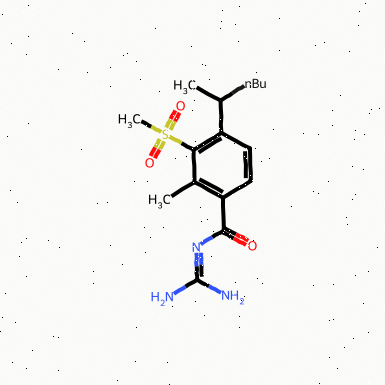 CCCCC(C)c1ccc(C(=O)N=C(N)N)c(C)c1S(C)(=O)=O